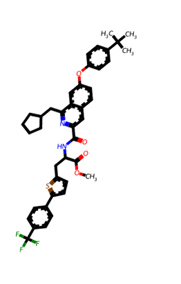 COC(=O)C(Cc1ccc(-c2ccc(C(F)(F)F)cc2)s1)NC(=O)c1cc2ccc(Oc3ccc(C(C)(C)C)cc3)cc2c(CC2CCCC2)n1